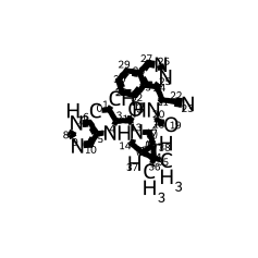 CC(C)C(Nc1cncnc1)C(=O)N1C[C@H]2[C@@H]([C@H]1C(=O)NC(C#N)c1nncc3ccccc13)C2(C)C